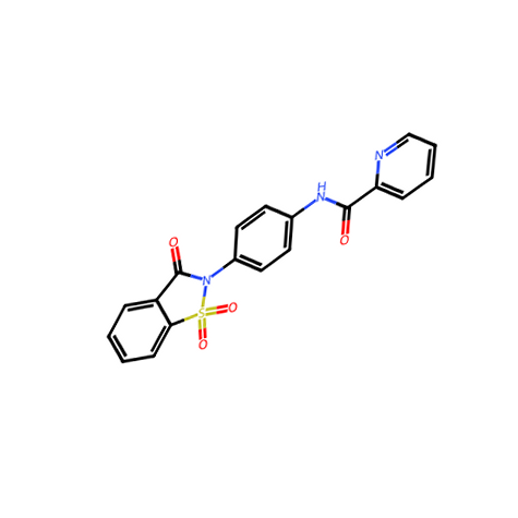 O=C(Nc1ccc(N2C(=O)c3ccccc3S2(=O)=O)cc1)c1ccccn1